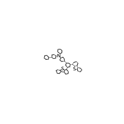 C1=CC(c2cc(-c3ccc(N(c4ccccc4)c4ccc(-c5ccccc5)cc4)cc3)cc(-c3cccc4c3sc3ccccc34)c2)C2Sc3ccccc3C2=C1